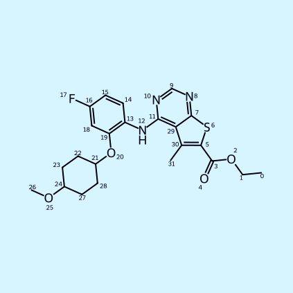 CCOC(=O)c1sc2ncnc(Nc3ccc(F)cc3OC3CCC(OC)CC3)c2c1C